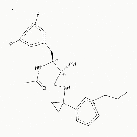 CCCc1cccc(C2(NC[C@@H](O)[C@H](Cc3cc(F)cc(F)c3)NC(C)=O)CC2)c1